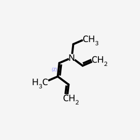 C=C/C(C)=C\N(C=C)CC